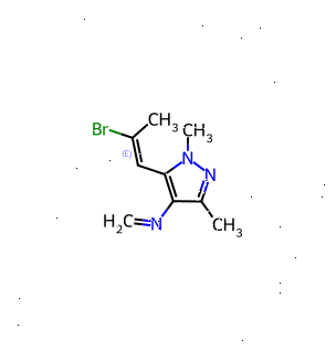 C=Nc1c(C)nn(C)c1/C=C(\C)Br